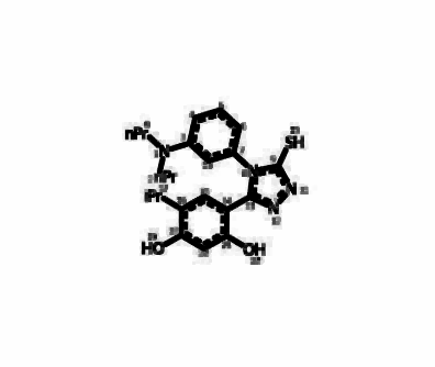 CCCN(CCC)c1cccc(-n2c(S)nnc2-c2cc(C(C)C)c(O)cc2O)c1